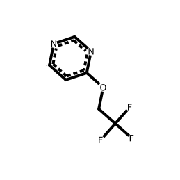 FC(F)(F)COc1c[c]ncn1